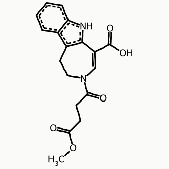 COC(=O)CCC(=O)N1C=C(C(=O)O)c2[nH]c3ccccc3c2CC1